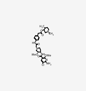 COc1nc(N)c(Cl)cc1C(=O)N[C@@H]1CCN(CC(=O)Nc2ccc(CC(=O)OC3CN(C)CCC3C)cc2)C[C@@H]1OC